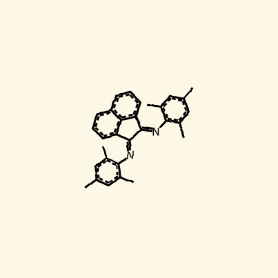 Cc1cc(C)c(N=C2C(=Nc3c(C)cc(C)cc3C)c3cccc4cccc2c34)c(C)c1